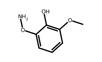 COc1cccc(ON)c1O